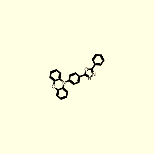 c1ccc(-c2nnc(-c3ccc(N4c5ccccc5Oc5ccccc54)cc3)o2)cc1